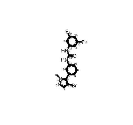 Cn1ncc(Br)c1-c1cccc(NC(=O)Nc2cc(F)cc(F)c2)c1